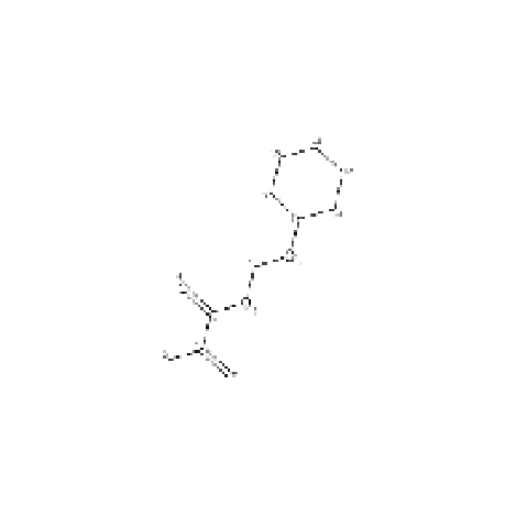 C=C(C)C(=O)OCOC1CCCCC1